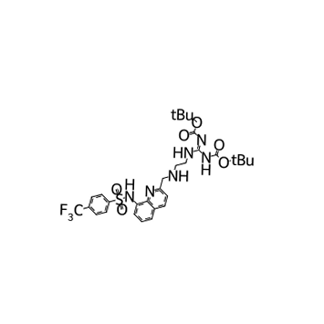 CC(C)(C)OC(=O)/N=C(\NCCNCc1ccc2cccc(NS(=O)(=O)c3ccc(C(F)(F)F)cc3)c2n1)NC(=O)OC(C)(C)C